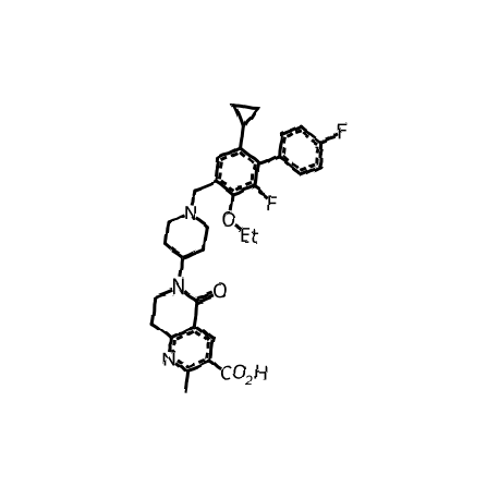 CCOc1c(CN2CCC(N3CCc4nc(C)c(C(=O)O)cc4C3=O)CC2)cc(C2CC2)c(-c2ccc(F)cc2)c1F